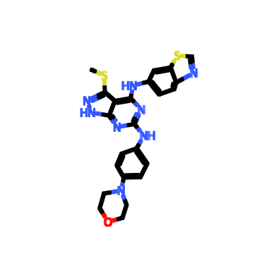 CSc1n[nH]c2nc(Nc3ccc(N4CCOCC4)cc3)nc(Nc3ccc4ncsc4c3)c12